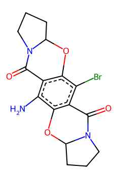 Nc1c2c(c(Br)c3c1C(=O)N1CCCC1O3)C(=O)N1CCCC1O2